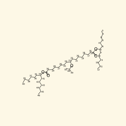 CCCCCCC(CCCCCC)OC(=O)CCCCCCCC(CCCCCCCC(=O)OC(CCCCCC)CCCCCC)OC(C)C